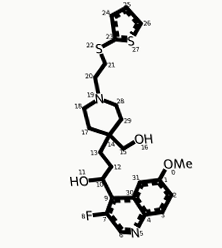 COc1ccc2ncc(F)c(C(O)CCC3(CO)CCN(CCSc4cccs4)CC3)c2c1